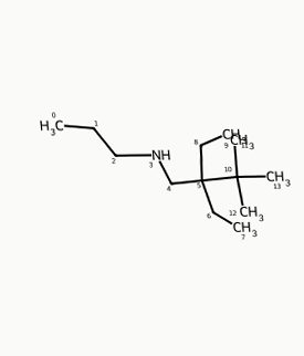 CCCNCC(CC)(CC)C(C)(C)C